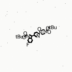 CC(C)(C)OC(=O)N1CCN(c2ccc(-c3cn(C(=O)OC(C)(C)C)c4cc(F)ccc34)cn2)C(=O)C1